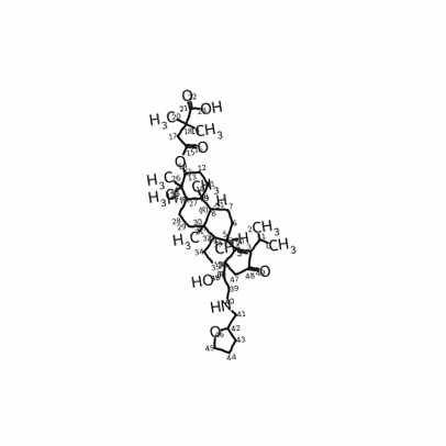 CC(C)C1=C2[C@H]3CC[C@@H]4[C@@]5(C)CC[C@H](OC(=O)CC(C)(C)C(=O)O)C(C)(C)[C@@H]5CC[C@@]4(C)[C@]3(C)CC[C@@]2([C@@H](O)CNCC2CCCO2)CC1=O